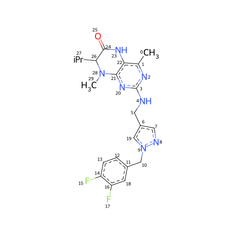 Cc1nc(NCc2cnn(Cc3ccc(F)c(F)c3)c2)nc2c1NC(=O)C(C(C)C)N2C